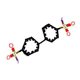 O=S(=O)(I)c1ccc(-c2ccc(S(=O)(=O)I)cc2)cc1